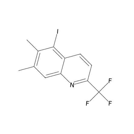 Cc1cc2nc(C(F)(F)F)ccc2c(I)c1C